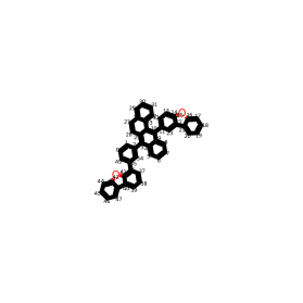 c1cc(-c2c3ccccc3c(-c3ccc4oc5ccccc5c4c3)c3c2ccc2ccccc23)cc(-c2cccc3c2oc2ccccc23)c1